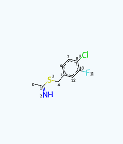 CC(=N)SCc1ccc(Cl)c(F)c1